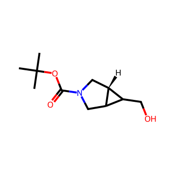 CC(C)(C)OC(=O)N1CC2C(CO)[C@H]2C1